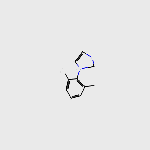 CC(C)c1cccc(C(C)C)c1N1C=CNC1.Cl